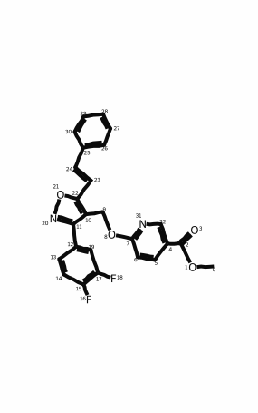 COC(=O)c1ccc(OCc2c(-c3ccc(F)c(F)c3)noc2C=Cc2ccccc2)nc1